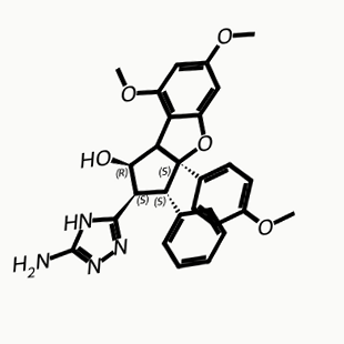 COc1ccc([C@@]23Oc4cc(OC)cc(OC)c4C2[C@H](O)[C@H](c2nnc(N)[nH]2)[C@H]3c2ccccc2)cc1